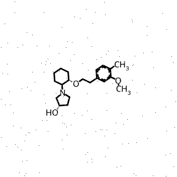 COc1cc(CCO[C@H]2CCCCC2N2CC[C@H](O)C2)ccc1C